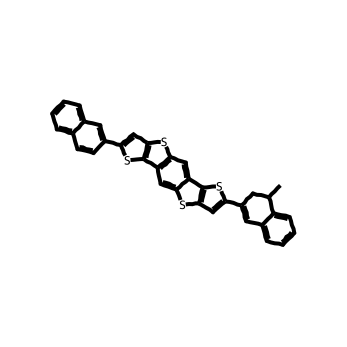 CC1CC(c2cc3sc4cc5c(cc4c3s2)sc2cc(-c3ccc4ccccc4c3)sc25)=Cc2ccccc21